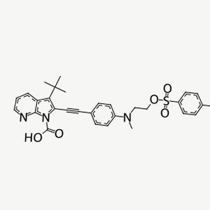 Cc1ccc(S(=O)(=O)OCCN(C)c2ccc(C#Cc3c(C(C)(C)C)c4cccnc4n3C(=O)O)cc2)cc1